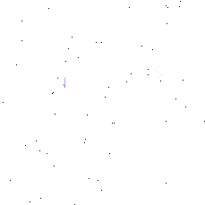 c1cnc2cscc2c1